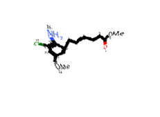 COC(=O)CCCCCc1cc(OC)cc(Cl)c1N